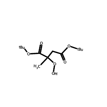 CC(C)(C)OC(=O)CC(C)(OO)C(=O)OC(C)(C)C